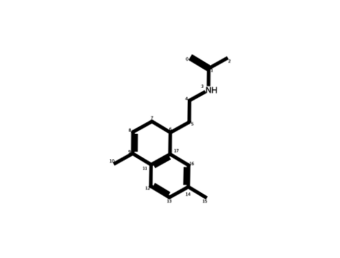 C=C(C)NCCC1CC=C(C)c2ccc(C)cc21